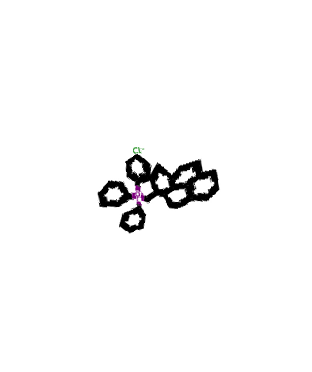 [Cl-].c1ccc([P+](Cc2ccc3ccc4cccc5ccc2c3c45)(c2ccccc2)c2ccccc2)cc1